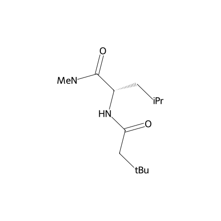 CNC(=O)[C@H](CC(C)C)NC(=O)CC(C)(C)C